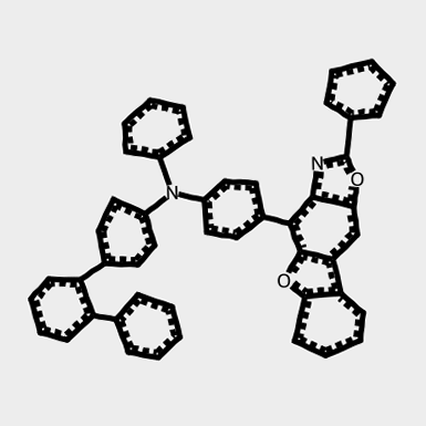 c1ccc(-c2nc3c(-c4ccc(N(c5ccccc5)c5ccc(-c6ccccc6-c6ccccc6)cc5)cc4)c4oc5ccccc5c4cc3o2)cc1